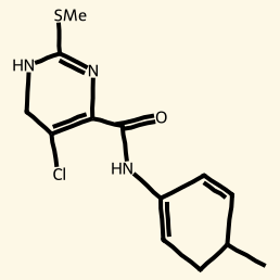 CSC1=NC(C(=O)NC2=CCC(C)C=C2)=C(Cl)CN1